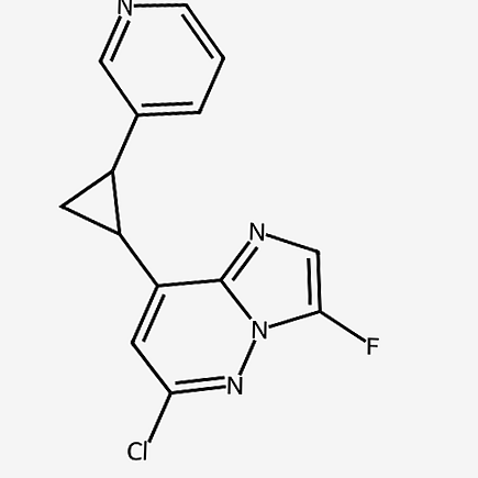 Fc1cnc2c(C3CC3c3cccnc3)cc(Cl)nn12